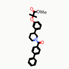 COC(=O)C(C)(C)Oc1cccc(C2CCCN(C(=O)c3ccc(-c4ccccc4)cc3)C2)c1